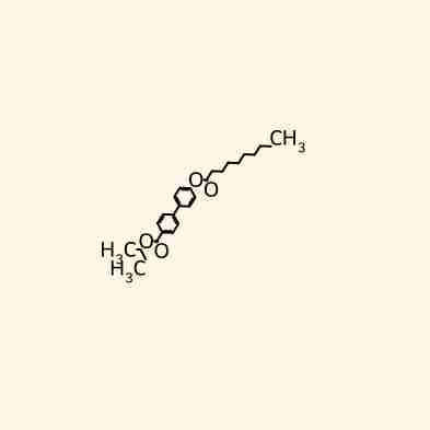 CCCCCCCCCC(=O)Oc1ccc(-c2ccc(C(=O)OC(C)CC)cc2)cc1